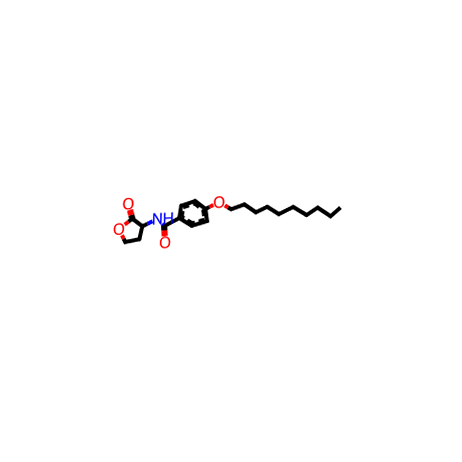 CCCCCCCCCCOc1ccc(C(=O)NC2CCOC2=O)cc1